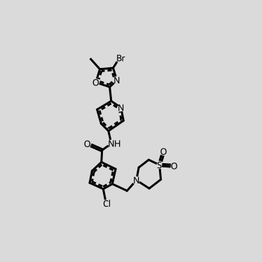 Cc1oc(-c2ccc(NC(=O)c3ccc(Cl)c(CN4CCS(=O)(=O)CC4)c3)cn2)nc1Br